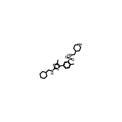 Cc1ccc(-c2sc(NCC3CCCCC3)nc2C)cc1S(=O)(=O)NCC1CCNCC1